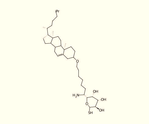 CC(C)CCC[C@@H](C)[C@H]1CCC2C3CC=C4CC(OCCCCCCC(N)[C@H]5OC(S)[C@H](O)[C@@H](O)[C@H]5O)CC[C@]4(C)C3CC[C@@]21C